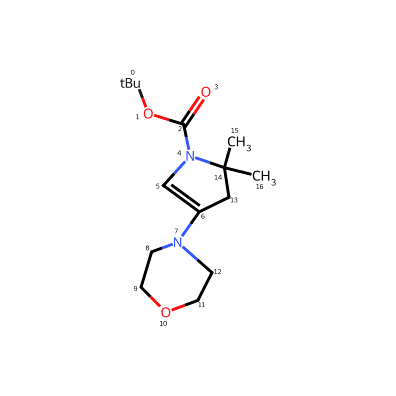 CC(C)(C)OC(=O)N1C=C(N2CCOCC2)CC1(C)C